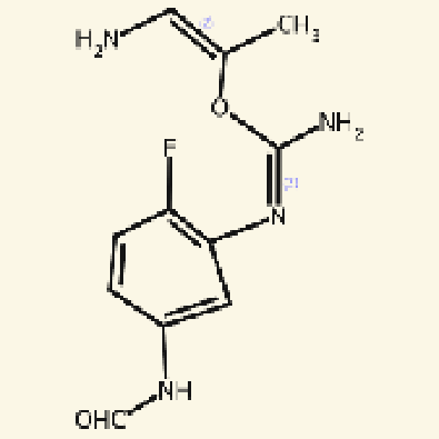 C/C(=C/N)O/C(N)=N\c1cc(NC=O)ccc1F